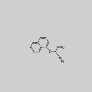 N#CC([C]=O)Oc1cccc2ccccc12